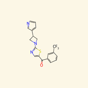 O=C(c1cccc(C(F)(F)F)c1)c1cnc(N2CC(c3cccnc3)C2)s1